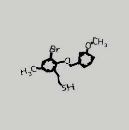 COc1cccc(COc2c(Br)cc(C)cc2CCS)c1